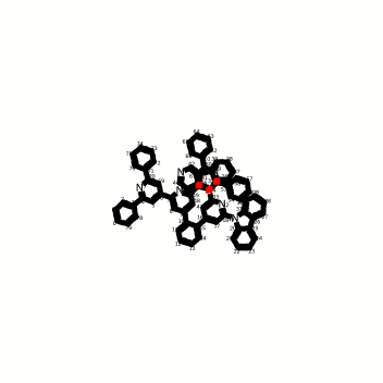 c1ccc(-c2cc(-c3cc(-c4ccccc4-c4cc(-n5c6ccccc6c6ccccc65)nc(-n5c6ccccc6c6cnccc65)c4)cc(-c4cc(-c5ccccc5)nc(-c5ccccc5)c4)n3)cc(-c3ccccc3)n2)cc1